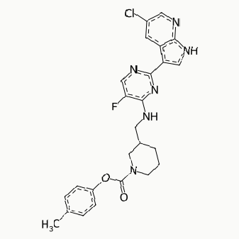 Cc1ccc(OC(=O)N2CCCC(CNc3nc(-c4c[nH]c5ncc(Cl)cc45)ncc3F)C2)cc1